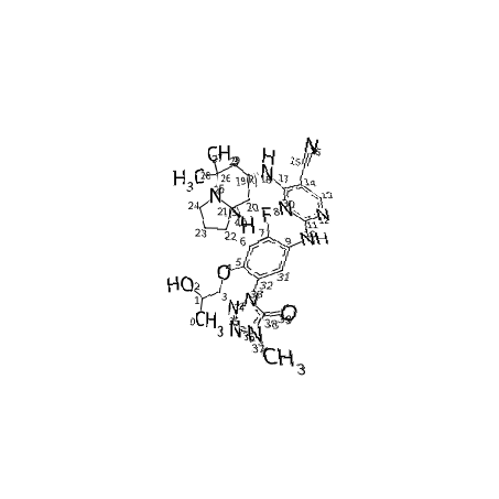 CC(O)COc1cc(F)c(Nc2ncc(C#N)c(N[C@@H]3C[C@@H]4CCCN4C(C)(C)C3)n2)cc1-n1nnn(C)c1=O